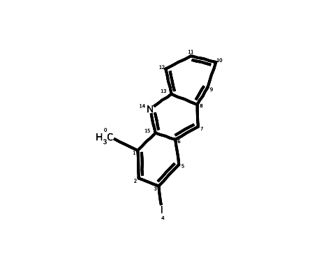 Cc1cc(I)cc2cc3ccccc3nc12